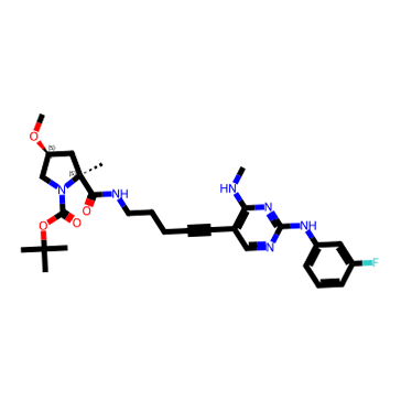 CNc1nc(Nc2cccc(F)c2)ncc1C#CCCCNC(=O)[C@]1(C)C[C@H](OC)CN1C(=O)OC(C)(C)C